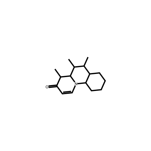 CC1C(=O)C=CN2C3CCCCC3C(C)C(C)C12